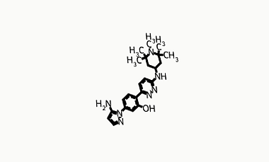 CN1C(C)(C)CC(Nc2ccc(-c3ccc(-n4nccc4N)cc3O)nn2)CC1(C)C